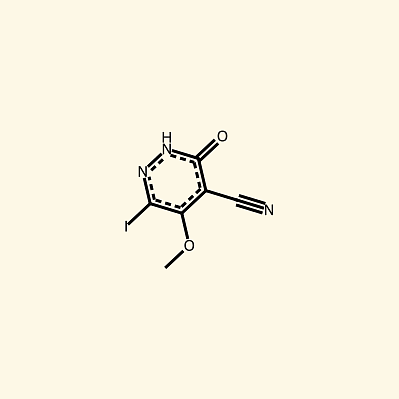 COc1c(I)n[nH]c(=O)c1C#N